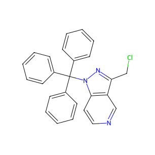 ClCc1nn(C(c2ccccc2)(c2ccccc2)c2ccccc2)c2ccncc12